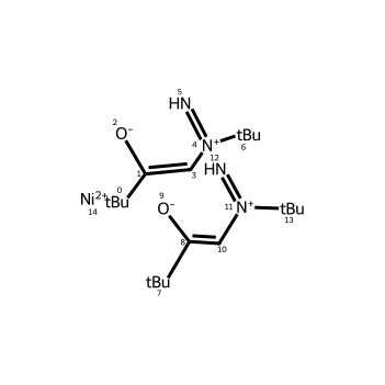 CC(C)(C)C([O-])=C[N+](=N)C(C)(C)C.CC(C)(C)C([O-])=C[N+](=N)C(C)(C)C.[Ni+2]